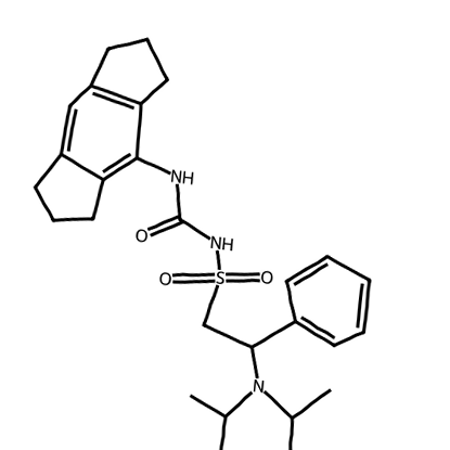 CC(C)N(C(C)C)C(CS(=O)(=O)NC(=O)Nc1c2c(cc3c1CCC3)CCC2)c1ccccc1